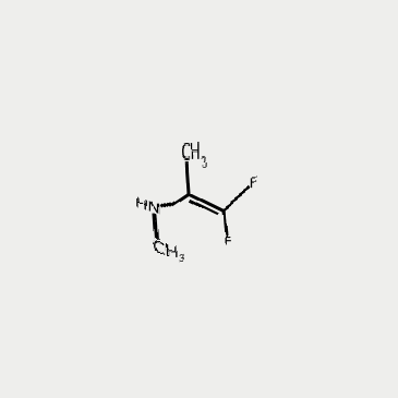 CNC(C)=C(F)F